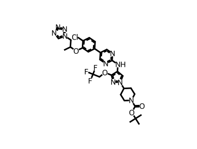 CC(Cn1cnnn1)Oc1cc(-c2cnc(Nc3cn(C4CCN(C(=O)OC(C)(C)C)CC4)nc3OCC(F)(F)F)nc2)ccc1Cl